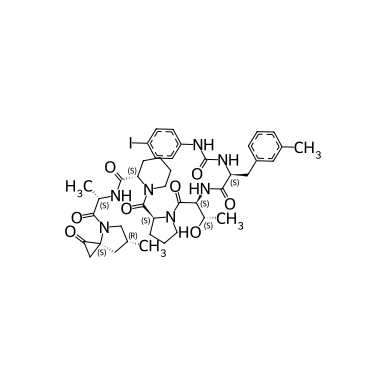 Cc1cccc(C[C@H](NC(=O)Nc2ccc(I)cc2)C(=O)N[C@H](C(=O)N2CCC[C@H]2C(=O)N2CCCC[C@H]2C(=O)N[C@@H](C)C(=O)N2C[C@H](C)C[C@@]23CC3=O)[C@H](C)O)c1